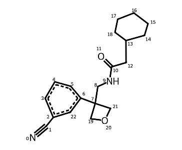 N#Cc1cccc(C2(CNC(=O)CC3CCCCC3)COC2)c1